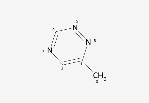 Cc1cncnn1